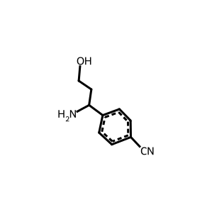 N#Cc1ccc(C(N)CCO)cc1